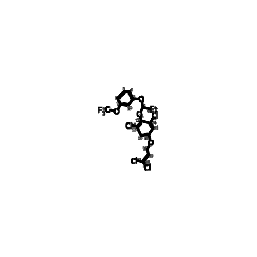 CCC(Oc1cccc(OC(F)(F)F)c1)Oc1c(Cl)cc(OCC=C(Cl)Cl)cc1Cl